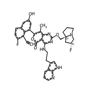 C#Cc1c(F)ccc2cc(O)cc(-c3oc(=O)c4c(NCCc5c[nH]c6ncccc56)nc(OC[C@@]56CCCN5C[C@H](F)C6)nc4c3C)c12